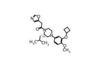 COc1ccc(N2CCN(C(=O)Cc3cnco3)[C@@H](CC(C)C)C2)cc1OC1CCC1